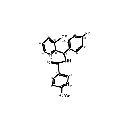 COc1ccc(C(=O)NC(c2ccc(F)cc2)c2ncccc2C(F)(F)F)cn1